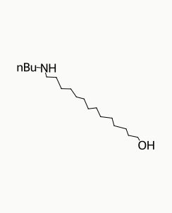 CCCCNCCCCCCCCCCCCCCO